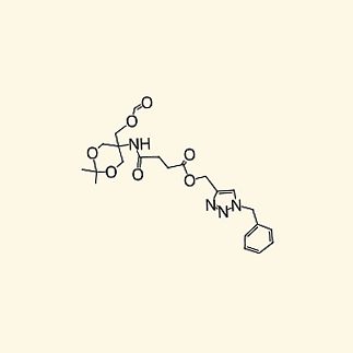 CC1(C)OCC(COC=O)(NC(=O)CCC(=O)OCc2cn(Cc3ccccc3)nn2)CO1